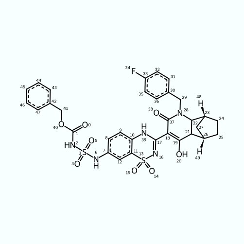 O=C(NS(=O)(=O)Nc1ccc2c(c1)S(=O)(=O)N=C(C1=C(O)C3C([C@@H]4CC[C@H]3C4)N(Cc3ccc(F)cc3)C1=O)N2)OCc1ccccc1